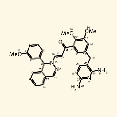 COc1cccc(C2c3ccccc3C=NN2/C=C/C(=O)c2cc(Cc3cnc(N)nc3N)cc(OC)c2OC)c1